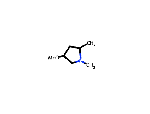 [CH2]C1CC(OC)CN1C